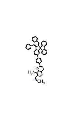 C/C=C\C1=C(N)C2NC(c3ccc(-c4ccc5c(c4)C4(c6ccccc6-c6ccccc64)c4cc6ccccc6c(-c6ccccc6)c4-5)cc3)=CCC2CC1